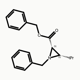 CC(C)[C@H]1[C@@H](C(=O)OCc2ccccc2)N1Cc1ccccc1